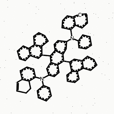 C1=Cc2cccc(N(c3ccccc3)c3ccc4c(-c5cc6ccccc6c6ccccc56)c5cc(N(c6ccccc6)c6cccc7ccccc67)ccc5c(-c5cc6ccccc6c6ccccc56)c4c3)c2CC1